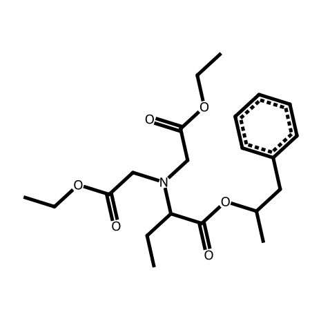 CCOC(=O)CN(CC(=O)OCC)C(CC)C(=O)OC(C)Cc1ccccc1